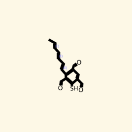 C/C=C/C=C/C=C/c1c(C=O)cc(C=O)c(S)c1C=O